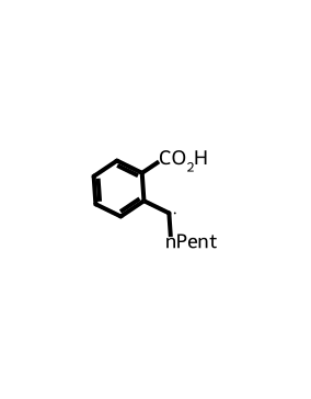 CCCCC[CH]c1ccccc1C(=O)O